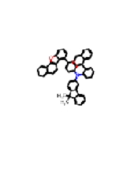 CC1(C)c2ccccc2-c2cc(N(c3ccc(-c4cccc5oc6c7ccccc7ccc6c45)cc3)c3ccccc3-c3cccc4ccccc34)ccc21